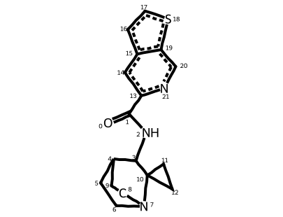 O=C(NC1C2CCN(CC2)C12CC2)c1cc2ccsc2cn1